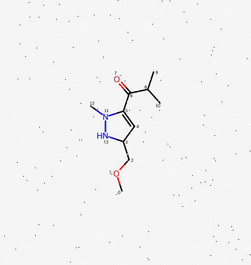 COCC1C=C(C(=O)C(C)C)N(C)N1